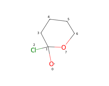 [O]C1(Cl)CCCCO1